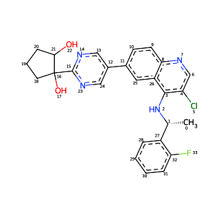 C[C@@H](Nc1c(Cl)cnc2ccc(-c3cnc(C4(O)CCCC4O)nc3)cc12)c1ccccc1F